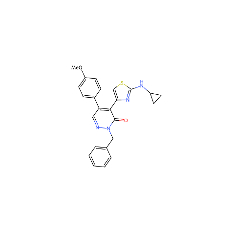 COc1ccc(-c2cnn(Cc3ccccc3)c(=O)c2-c2csc(NC3CC3)n2)cc1